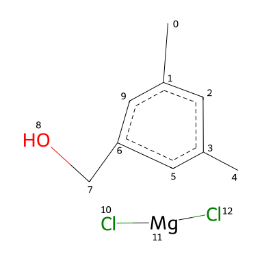 Cc1cc(C)cc(CO)c1.[Cl][Mg][Cl]